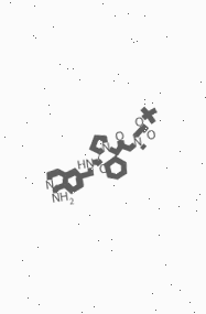 CN(CC(=O)OC(C)(C)C)CC(=O)[C@@H](C1CCCCC1)N1CCC[C@H]1C(=O)NCc1ccc2c(N)nccc2c1